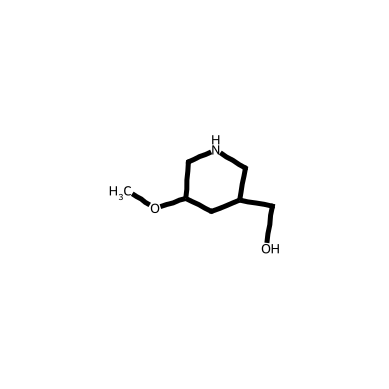 COC1CNCC(CO)C1